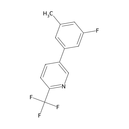 Cc1cc(F)cc(-c2ccc(C(F)(F)F)nc2)c1